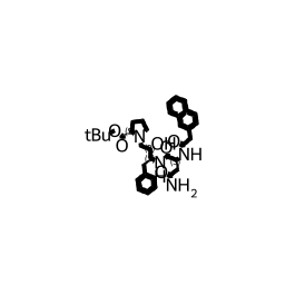 CC(C)(C)OC(=O)[C@@H]1CCCN1C[C@@H](O)[C@H](Cc1ccccc1)NC(=O)[C@H](CC(N)=O)NC(=O)Cc1ccc2ccccc2c1